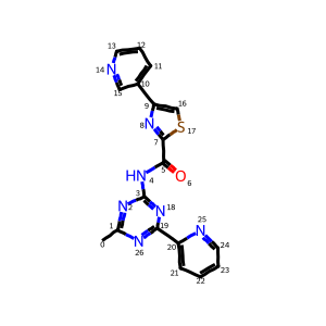 Cc1nc(NC(=O)c2nc(-c3cccnc3)cs2)nc(-c2ccccn2)n1